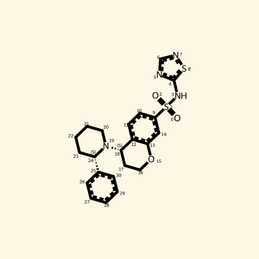 O=S(=O)(Nc1ncns1)c1ccc2c(c1)OCC[C@@H]2N1CCCC[C@H]1c1ccccc1